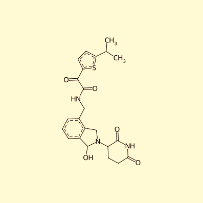 CC(C)c1ccc(C(=O)C(=O)NCc2cccc3c2CN(C2CCC(=O)NC2=O)C3O)s1